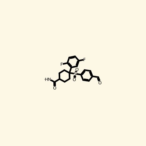 [NH]C(=O)C1CCC(c2cc(F)ccc2F)(S(=O)(=O)c2ccc(C=O)cc2)CC1